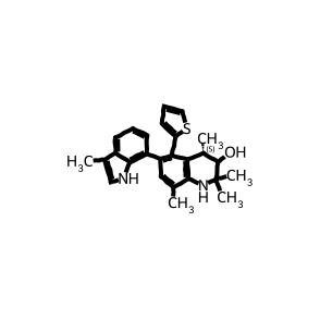 Cc1cc(-c2cccc3c(C)c[nH]c23)c(-c2cccs2)c2c1NC(C)(C)C(O)[C@H]2C